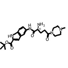 CN1CCN(C(=O)CC[C@H](N)C(=O)Nc2ccc3[nH]c(C(=O)OC(C)(C)C)cc3c2)CC1